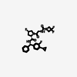 O=C(N[C@@H](c1ccccc1)c1ccc(C2CC2)c(F)c1)[C@@H]1C[C@@H](F)CN1C(=O)CNC(=O)N1CC(F)(F)C1